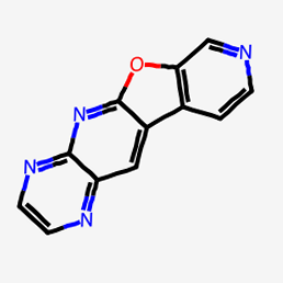 c1cc2c(cn1)oc1nc3nccnc3cc12